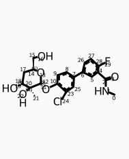 CNC(=O)c1cc(-c2ccc(O[C@H]3O[C@H](CO)C[C@H](O)[C@]3(C)O)c(Cl)c2)ccc1F